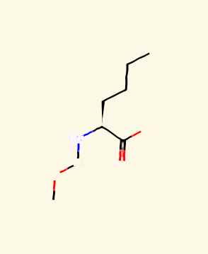 CCCC[C@H](NBOC)C(=O)O